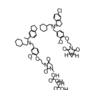 COc1cc(CN(CC2CCCCC2)C(C)c2ccc3c(c2)CCC3)ccc1OCCN1C(=O)CN(C)C1=O.COc1cc(CN(CC2CCCCC2)[C@H]2CCc3cc(Cl)ccc32)ccc1OCCN1C(=O)[C@@H]2C[C@H]2C1=O.O=C(O)O.O=C(O)O